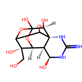 N=C1N[C@@H](O)[C@H]2[C@@H]3OC4(O)OC(C(O)[C@@]2(N1)[C@@H]4O)[C@]3(O)CO